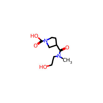 CN(CCO)C(=O)C1CCN(C(=O)O)C1